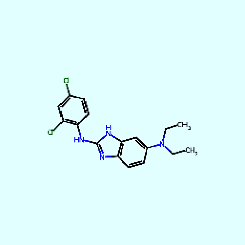 CCN(CC)c1ccc2nc(Nc3ccc(Cl)cc3Cl)[nH]c2c1